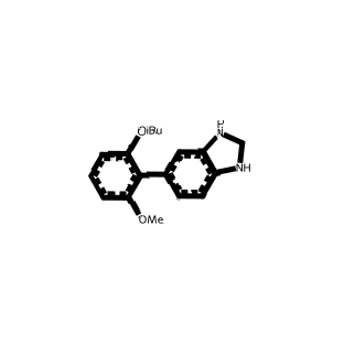 COc1cccc(OCC(C)C)c1-c1ccc2c(c1)NCN2